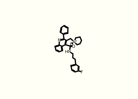 O=C(NCCCc1cccc(F)c1)c1c(C[N+]2([O-])CCCCC2)c(-c2ccccc2)nc2ccccc12